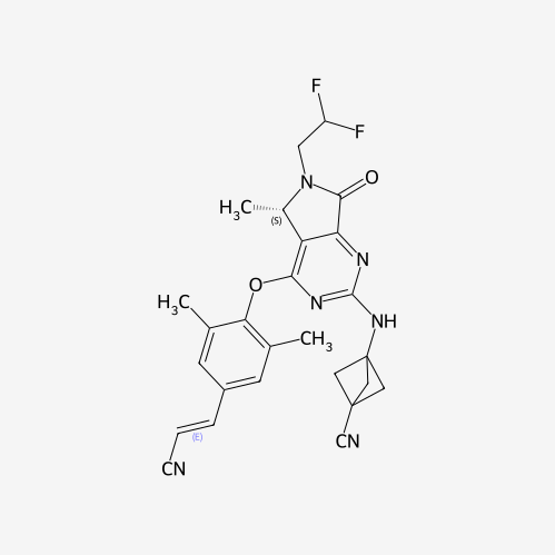 Cc1cc(/C=C/C#N)cc(C)c1Oc1nc(NC23CC(C#N)(C2)C3)nc2c1[C@H](C)N(CC(F)F)C2=O